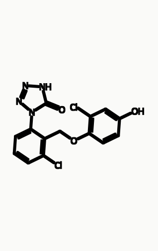 O=c1[nH]nnn1-c1cccc(Cl)c1COc1ccc(O)cc1Cl